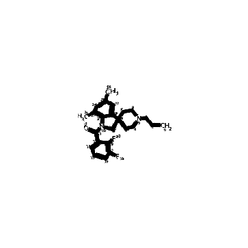 C=CCN1CCC2(CC1)CN(C(=O)c1cccc(F)c1F)c1c(C)cc(C)cc12